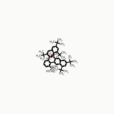 CC(C)(C)c1cc(C(C)(C)C)c2cc(-c3cccc([PH](O)(O)O)c3-c3cc4c(C(C)(C)C)cc(C(C)(C)C)cc4cc3C(C)(C)C)c(C(C)(C)C)cc2c1